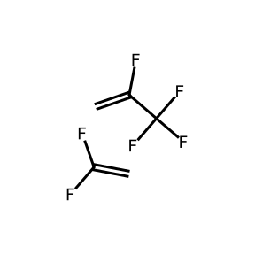 C=C(F)C(F)(F)F.C=C(F)F